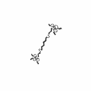 CCO[Si](CCCSCCCCCCSCCC[Si](OCC)(OCC)OCC)(OCC)OCC